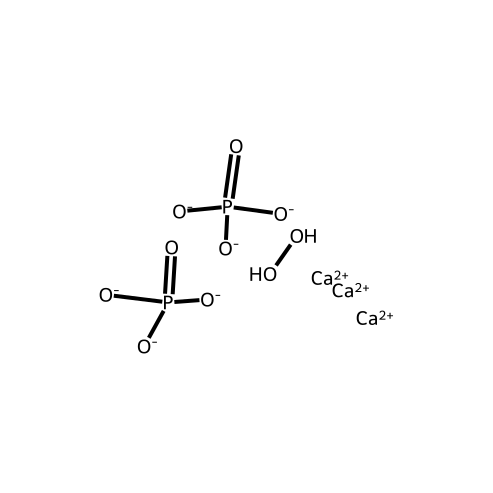 O=P([O-])([O-])[O-].O=P([O-])([O-])[O-].OO.[Ca+2].[Ca+2].[Ca+2]